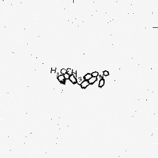 CC1(C)c2ccccc2-c2cc(-c3ccc4ccc5c(N(c6ccccc6)c6ccccc6)ccc6ccc3c4c65)ccc21